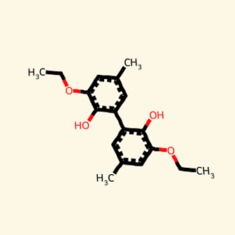 CCOc1cc(C)cc(-c2cc(C)cc(OCC)c2O)c1O